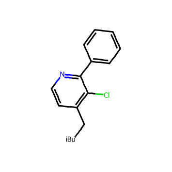 C[CH]C(C)Cc1ccnc(-c2ccccc2)c1Cl